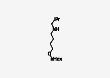 CCCCCCOCCCCNCC(C)C